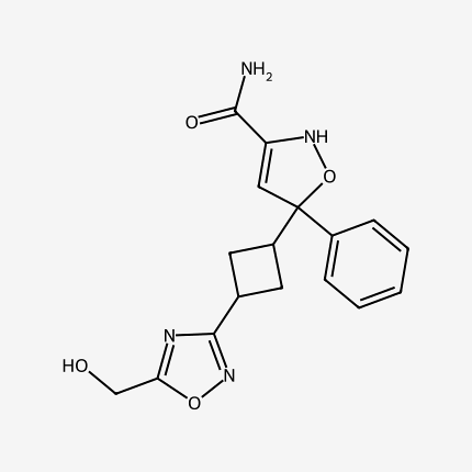 NC(=O)C1=CC(c2ccccc2)(C2CC(c3noc(CO)n3)C2)ON1